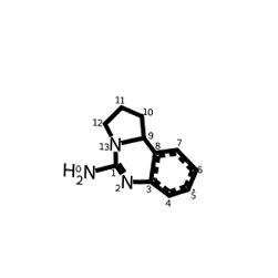 NC1=Nc2c[c]ccc2C2CCCN12